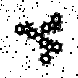 CC1(C)c2ccccc2-c2ccc(N(C3=CC4(C)c5ccccc5N(C5=CC=CCC5)C4C=C3)c3ccc4c(c3)C(C)(C)[C@H]3C=CC=CC43)cc21